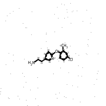 Cc1cc(Cl)ccc1Oc1ccc(CCN)cn1